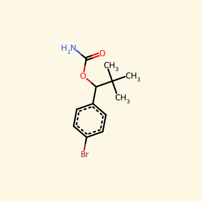 CC(C)(C)C(OC(N)=O)c1ccc(Br)cc1